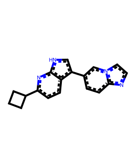 c1cn2cc(-c3c[nH]c4nc(C5CCC5)ccc34)ccc2n1